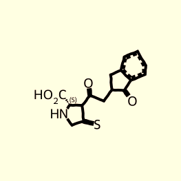 O=C1c2ccccc2CC1CC(=O)C1C(=S)CN[C@@H]1C(=O)O